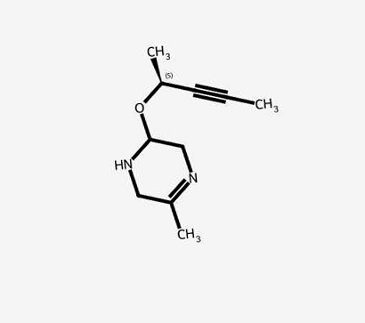 CC#C[C@H](C)OC1CN=C(C)CN1